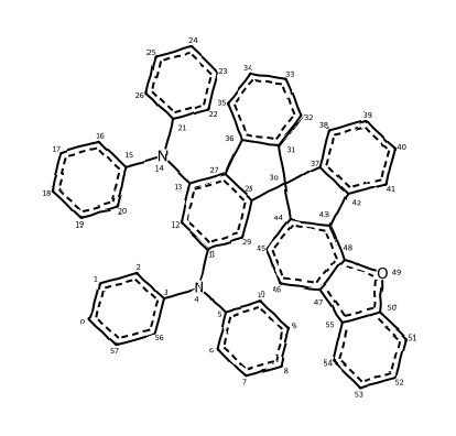 c1ccc(N(c2ccccc2)c2cc(N(c3ccccc3)c3ccccc3)c3c(c2)C2(c4ccccc4-3)c3ccccc3-c3c2ccc2c3oc3ccccc32)cc1